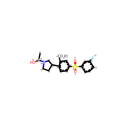 CCOC(=O)c1cc(S(=O)(=O)c2cccc(F)c2)ccc1C1CCN(B(C)O)C1